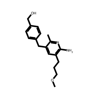 COCCCc1cc(Cc2ccc(CO)cc2)c(C)nc1N